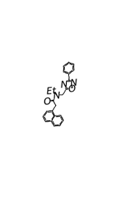 CCN(Cc1nc(-c2ccccc2)no1)C(=O)Cc1cccc2ccccc12